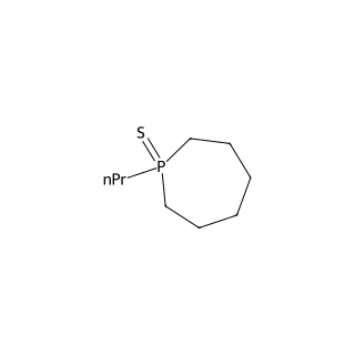 CCCP1(=S)CCCCCC1